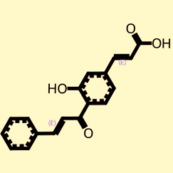 O=C(O)/C=C/c1ccc(C(=O)/C=C/c2ccccc2)c(O)c1